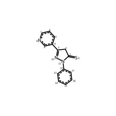 S=C1CC(c2cccnc2)=NN1c1ccccc1